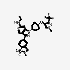 CCNc1cc2c(cn1)c(-c1ccc3c(c1)CN(C)S3(=O)=O)nn2[C@H]1CC[C@@H](Oc2cn(C)nc2C(F)(F)F)CC1